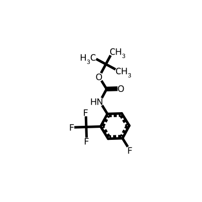 CC(C)(C)OC(=O)Nc1ccc(F)cc1C(F)(F)F